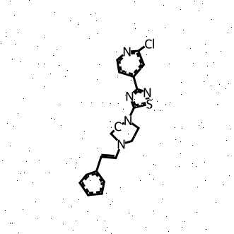 Clc1cc(-c2nsc(N3CCN(C=Cc4ccccc4)CC3)n2)ccn1